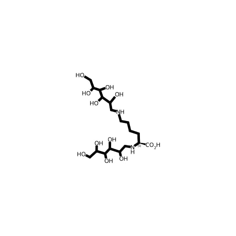 O=C(O)[C@H](CCCCNCC(O)C(O)C(O)C(O)CO)NCC(O)C(O)C(O)C(O)CO